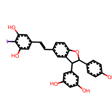 Oc1ccc(C2Oc3ccc(/C=C/c4cc(O)c(I)c(O)c4)cc3C2c2cc(O)cc(O)c2)cc1